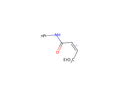 CCCNC(=O)/C=C\C(=O)OCC